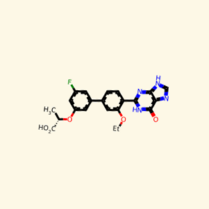 CCOc1cc(-c2cc(F)cc(O[C@@H](C)C(=O)O)c2)ccc1-c1nc2[nH]cnc2c(=O)[nH]1